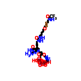 [N-]=[N+]=NCOC1C[C@H](n2cc(C#CCNC(=O)NCCCCCOCSSCCNC(=O)C(F)(F)F)c3c(=O)[nH]c(N)nc32)O[C@@H]1COP(=O)(O)OP(=O)(O)OP(=O)(O)O